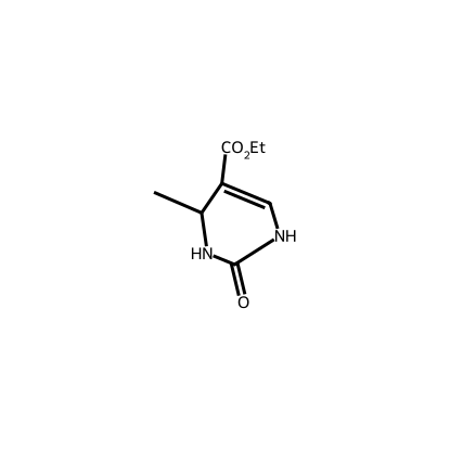 CCOC(=O)C1=CNC(=O)NC1C